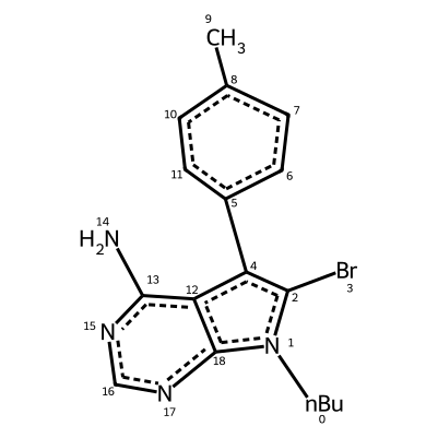 CCCCn1c(Br)c(-c2ccc(C)cc2)c2c(N)ncnc21